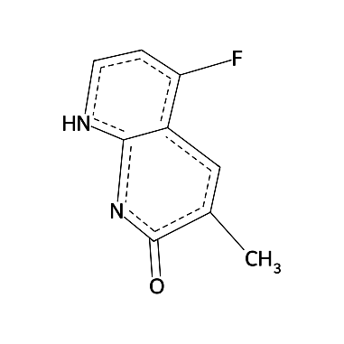 Cc1cc2c(F)cc[nH]c-2nc1=O